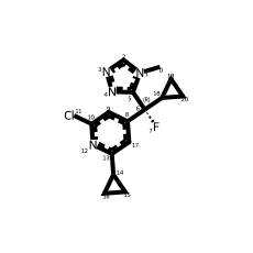 Cn1cnnc1[C@](F)(c1cc(Cl)nc(C2CC2)c1)C1CC1